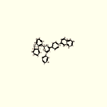 c1ccc(-c2cc(-c3ccc(-c4ccc5ccccc5c4)cc3)nc(-c3cccc4oc5ccccc5c34)n2)cc1